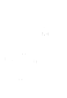 CCc1cc(O)cc(C)c1OCCCCNC(=O)c1ccccc1